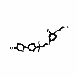 C=CCOc1ccc(OCCC(F)(F)C2CCC(C3CCC(C)CO3)CC2)cc1F